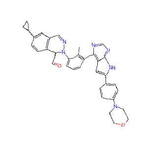 Cc1c(-c2ncnc3[nH]c(-c4ccc(N5CCOCC5)cc4)cc23)cccc1N1N=Cc2cc(C3CC3)ccc2C1C=O